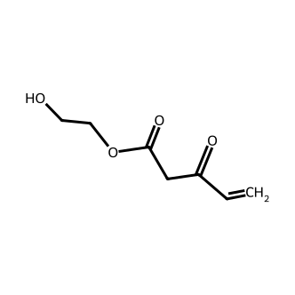 C=CC(=O)CC(=O)OCCO